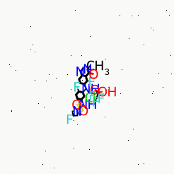 Cn1cnc2ccc(Nc3c(F)ccc(NS(=O)(=O)N4CC(F)C4)c3Cl)c(F)c2c1=O.O=C(O)C(F)(F)F